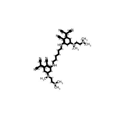 CN(C)CCN(C)C1CC(NCCCCCCNC2=C(C#N)C(=C(C#N)C#N)CC(N(C)CCN(C)C)C2)=C(C#N)C(=C(C#N)C#N)C1